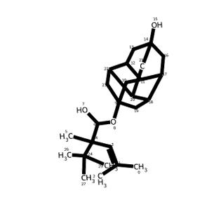 CC(C)=CC(C)(C(O)OC12CC3C4CC5(O)CC3C(C1)C(C5)C4C2)C(C)(C)C